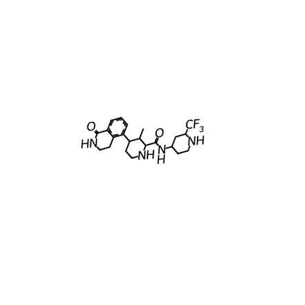 CC1C(C(=O)NC2CCNC(C(F)(F)F)C2)NCCC1c1cccc2c1CCNC2=O